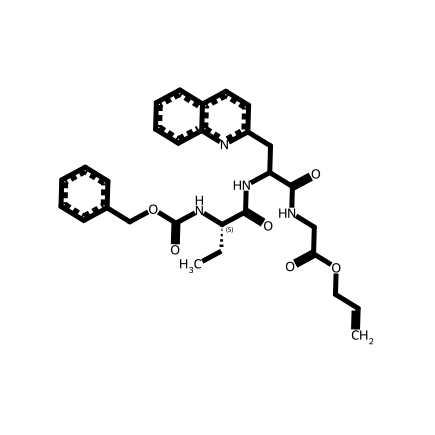 C=CCOC(=O)CNC(=O)C(Cc1ccc2ccccc2n1)NC(=O)[C@H](CC)NC(=O)OCc1ccccc1